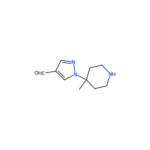 CC1(n2cc(C=O)cn2)CCNCC1